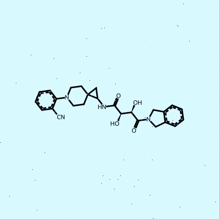 N#Cc1ccccc1N1CCC2(CC1)CC2NC(=O)[C@H](O)[C@@H](O)C(=O)N1Cc2ccccc2C1